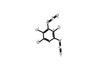 O=C=Nc1cc(Cl)c(Cl)c(N=C=O)c1Cl